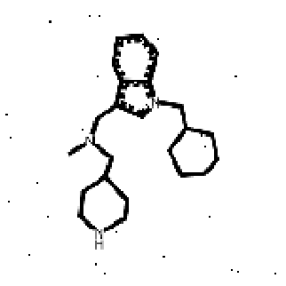 CN(Cc1cn(CC2CCCCC2)c2ccccc12)CC1CCNCC1